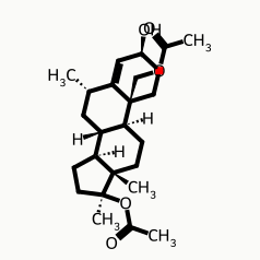 CC(=O)OC[C@]12CC[C@H](O)C=C1[C@@H](C)C[C@@H]1[C@@H]2CC[C@@]2(C)[C@H]1CC[C@]2(C)OC(C)=O